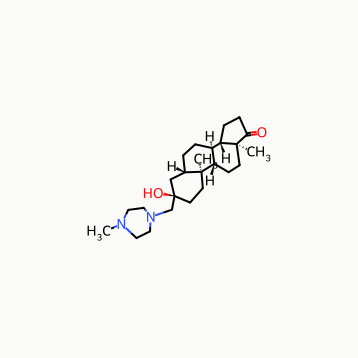 CN1CCN(C[C@@]2(O)CC[C@@]3(C)[C@@H](CC[C@@H]4[C@@H]3CC[C@]3(C)C(=O)CC[C@@H]43)C2)CC1